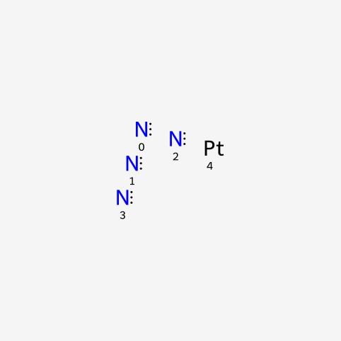 [N].[N].[N].[N].[Pt]